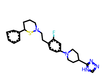 Fc1cc(N2CCC(c3nnc[nH]3)CC2)ccc1CCN1CCCC(c2ccccc2)S1